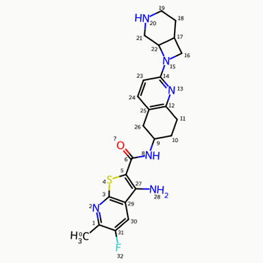 Cc1nc2sc(C(=O)NC3CCc4nc(N5CC6CCNCC65)ccc4C3)c(N)c2cc1F